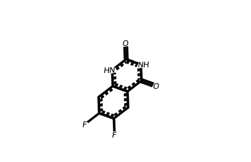 O=c1[nH]c(=O)c2cc(F)c(F)cc2[nH]1